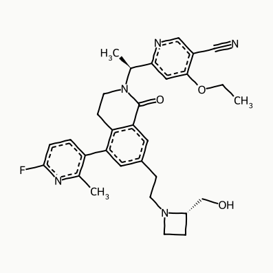 CCOc1cc([C@H](C)N2CCc3c(cc(CCN4CC[C@H]4CO)cc3-c3ccc(F)nc3C)C2=O)ncc1C#N